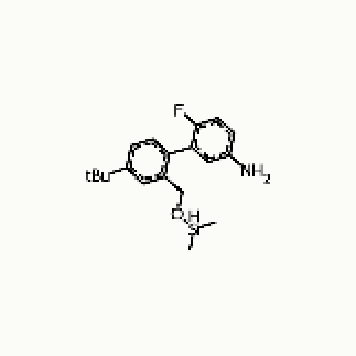 C[SiH](C)OCc1cc(C(C)(C)C)ccc1-c1cc(N)ccc1F